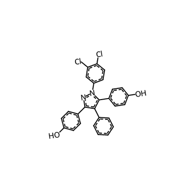 Oc1ccc(-c2nn(-c3ccc(Cl)c(Cl)c3)c(-c3ccc(O)cc3)c2-c2ccccc2)cc1